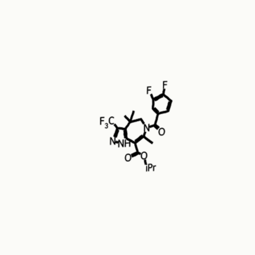 CC1=C(C(=O)OC(C)C)c2[nH]nc(C(F)(F)F)c2C(C)(C)CN1C(=O)c1ccc(F)c(F)c1